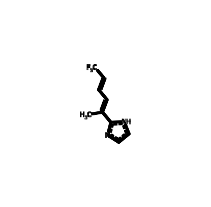 C/C(=C\C=C\C(F)(F)F)c1ncc[nH]1